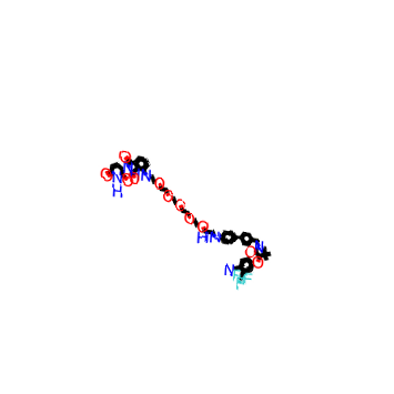 CC1(C)CN(Cc2ccc(-c3ccc(NCCOCCOCCOCCOCCOCCNc4cccc5c4C(=O)N(C4CCC(=O)NC4=O)C5=O)cc3)cc2)C(=O)C1Oc1ccc(C#N)c(C(F)(F)F)c1